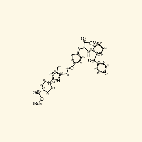 COC(=O)C(Cc1ccc(OCCc2nc(N3CCN(C(=O)OC(C)(C)C)CC3)sc2C)cc1)Nc1ccccc1C(=O)c1ccccc1